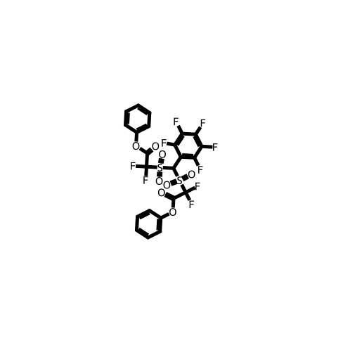 O=C(Oc1ccccc1)C(F)(F)S(=O)(=O)C(c1c(F)c(F)c(F)c(F)c1F)S(=O)(=O)C(F)(F)C(=O)Oc1ccccc1